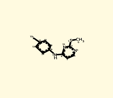 CSc1nccc(Nc2ccc(I)cc2)n1